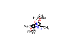 CC=CC1=CN(C(=O)c2cc(OC)c(O[Si](C(C)C)(C(C)C)C(C)C)cc2N)[C@H](CO[Si](C)(C)C(C)(C)C)C1